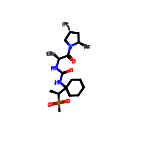 CC(=O)[C@@H]1C[C@@H](C(C)C)CN1C(=O)[C@@H](NC(=O)NC1([C@H](C)S(C)(=O)=O)CCCCC1)C(C)(C)C